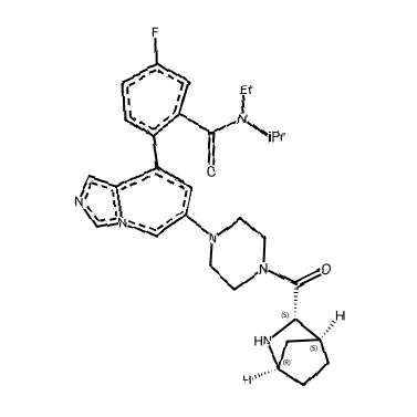 CCN(C(=O)c1cc(F)ccc1-c1cc(N2CCN(C(=O)[C@H]3N[C@@H]4CC[C@H]3C4)CC2)cn2cncc12)C(C)C